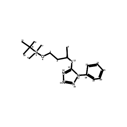 CC(CCO[Si](C)(C)C(C)(C)C)Sc1nnnn1-c1ccccc1